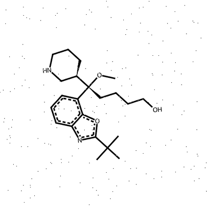 CO[C@](CCCCO)(c1cccc2nc(C(C)(C)C)oc12)[C@@H]1CCCNC1